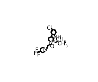 CC(C)C[C@H]1c2[nH]c3ccc(Cl)cc3c2CCN1C(=O)CCN1CCC(C(F)(F)F)CC1